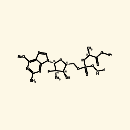 COc1nc(N)nc2c1ncn2[C@@H]1O[C@H](COP(=O)(N[C@@H](C)C(=O)OC(C)C)OPI)[C@@H](O)[C@@]1(C)F